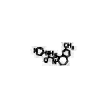 Cc1ccc2c(c1)-c1sc(C(=O)Nc3ccncc3)nc1CCC2